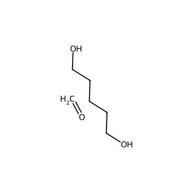 C=O.OCCCCCO